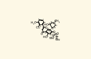 Cc1cccc(-c2cc(=O)c3c(O)cc(OP(=O)(OC(C)(C)C)OC(C)(C)C)c([C@H]4CCN(C)C[C@H]4O)c3o2)c1Cl